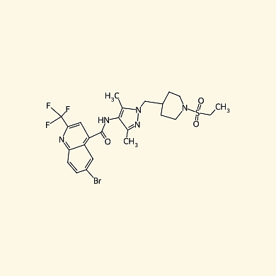 CCS(=O)(=O)N1CCC(Cn2nc(C)c(NC(=O)c3cc(C(F)(F)F)nc4ccc(Br)cc34)c2C)CC1